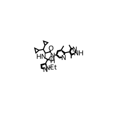 CCn1nccc1C(=O)N[C@H](C(=O)Nc1cnc(-c2c(C)n[nH]c2C)c(C)c1)C(C1CC1)C1CC1